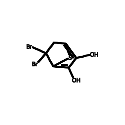 Oc1c2sc(c1O)C(Br)(Br)C2